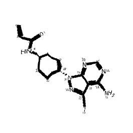 C=CC(=O)N[C@H]1CC[C@H](n2nc(I)c3c(N)ncnc32)CC1